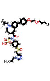 CCCCOCCOc1ccc(-c2ccc3c(c2)/C=C(/C(=O)N(CS(=O)(=O)O)c2ccc([S+]([O-])Cc4cncn4CCC)cc2)CCCN3CC(C)C)cc1